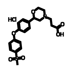 CS(=O)(=O)c1ccc(Oc2ccc(C3CN(CCC(=O)O)CCO3)cc2)cc1.Cl